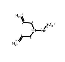 C=CCN(CC=C)NS(=O)(=O)O